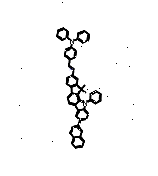 CC1(C)c2cc(/C=C/c3ccc(N(c4ccccc4)c4ccccc4)cc3)ccc2-c2ccc3c4cc(-c5ccc6ccccc6c5)ccc4n(-c4ccccc4)c3c21